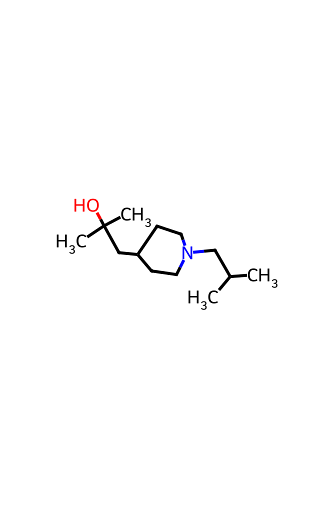 CC(C)CN1CCC(CC(C)(C)O)CC1